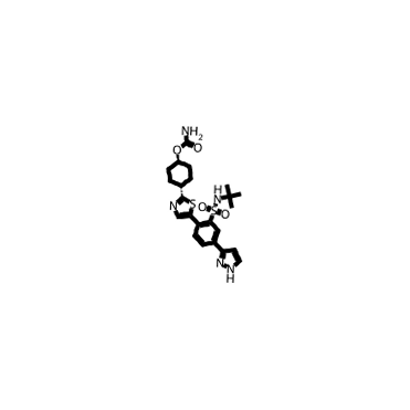 CC(C)(C)NS(=O)(=O)c1cc(-c2cc[nH]n2)ccc1-c1cnc([C@H]2CC[C@H](OC(N)=O)CC2)s1